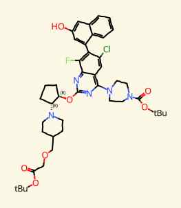 CC(C)(C)OC(=O)COCC1CCN([C@@H]2CCC[C@H]2Oc2nc(N3CCN(C(=O)OC(C)(C)C)CC3)c3cc(Cl)c(-c4cc(O)cc5ccccc45)c(F)c3n2)CC1